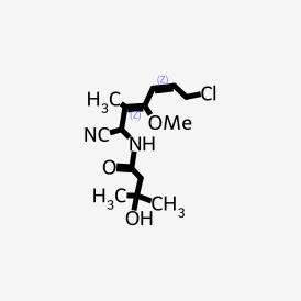 COC(/C=C\CCl)=C(/C)C(C#N)NC(=O)CC(C)(C)O